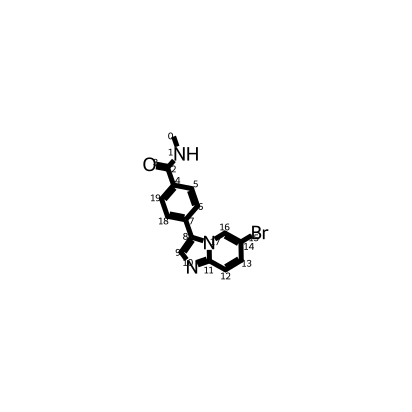 CNC(=O)c1ccc(-c2cnc3ccc(Br)cn23)cc1